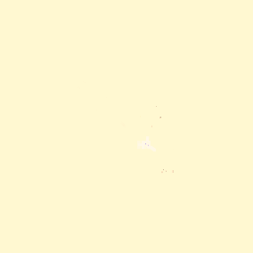 CCCCCCCCCC(=O)[NH][Hf]([Cl])([Cl])([c]1cccc2c1Cc1ccccc1-2)[SiH](C)C